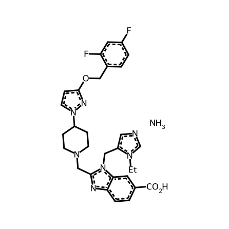 CCn1cncc1Cn1c(CN2CCC(n3ccc(OCc4ccc(F)cc4F)n3)CC2)nc2ccc(C(=O)O)cc21.N